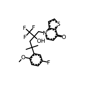 COc1ccc(F)cc1C(C)(C)CC(O)(Cn1ccc(=O)c2sccc21)C(F)(F)F